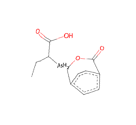 CCC([AsH2])C(=O)O.O=C1OCc2ccc1cc2